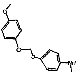 CNc1ccc(OCOc2ccc(OC)cc2)cc1